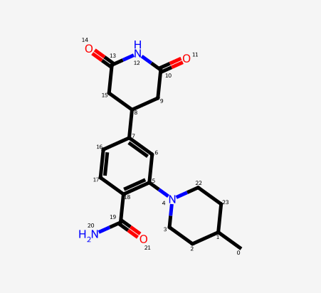 CC1CCN(c2cc(C3CC(=O)NC(=O)C3)ccc2C(N)=O)CC1